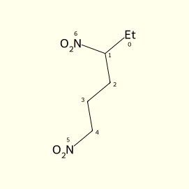 CCC(CCC[N+](=O)[O-])[N+](=O)[O-]